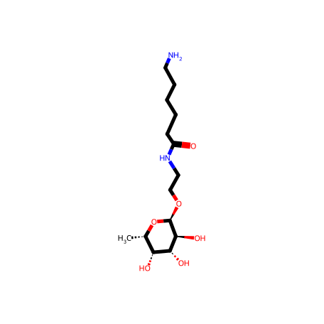 C[C@@H]1O[C@@H](OCCNC(=O)CCCCCN)[C@@H](O)[C@H](O)[C@@H]1O